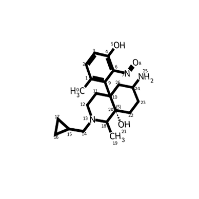 Cc1ccc(O)c(N=O)c1C12CCN(CC3CC3)C(C)[C@]1(O)CCC(N)C2